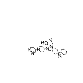 CN(C)[C@]1(c2ccccc2)CC[C@]2(CC1)CN(C1CCN(c3ccnnc3)CC1)C(O)N2CC1CC1